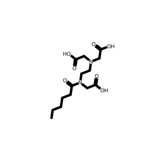 CCCCCC(=O)N(CCN(CC(=O)O)CC(=O)O)CC(=O)O